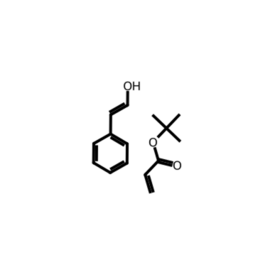 C=CC(=O)OC(C)(C)C.OC=Cc1ccccc1